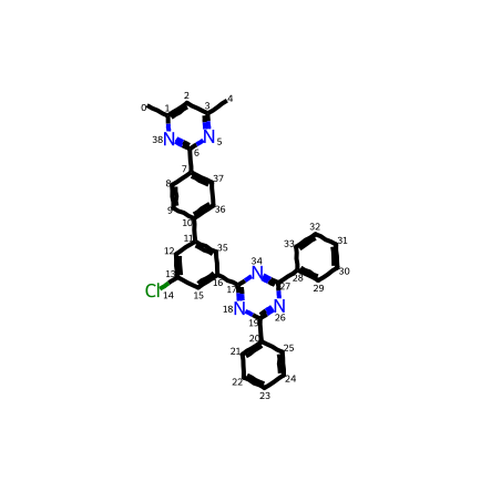 Cc1cc(C)nc(-c2ccc(-c3cc(Cl)cc(-c4nc(-c5ccccc5)nc(-c5ccccc5)n4)c3)cc2)n1